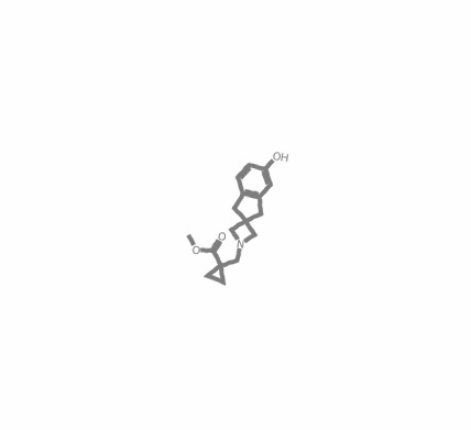 COC(=O)C1(CN2CC3(Cc4ccc(O)cc4C3)C2)CC1